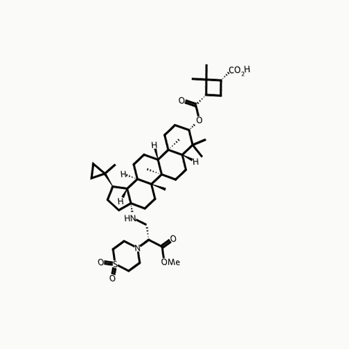 COC(=O)[C@@H](CN[C@]12CC[C@@H](C3(C)CC3)[C@@H]1[C@H]1CC[C@@H]3[C@@]4(C)CC[C@H](OC(=O)[C@H]5C[C@@H](C(=O)O)C5(C)C)C(C)(C)[C@@H]4CC[C@@]3(C)[C@]1(C)CC2)N1CCS(=O)(=O)CC1